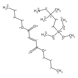 CCCCOC(=O)C=CC(=O)OCCCC.CO[Si](CCC(C)(C)CN)(OC)OC